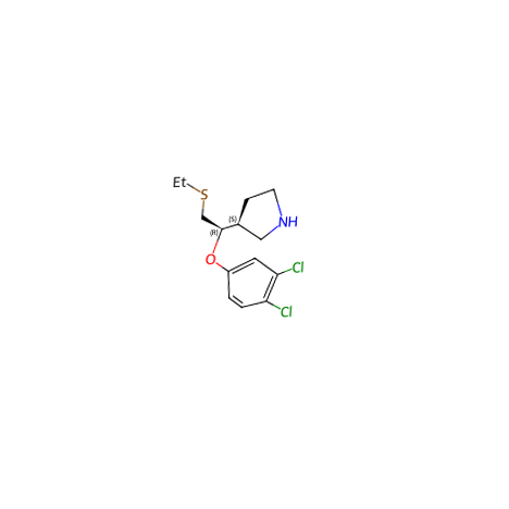 CCSC[C@H](Oc1ccc(Cl)c(Cl)c1)[C@H]1CCNC1